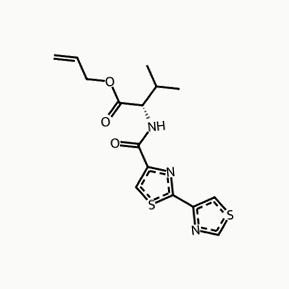 C=CCOC(=O)[C@@H](NC(=O)c1csc(-c2cscn2)n1)C(C)C